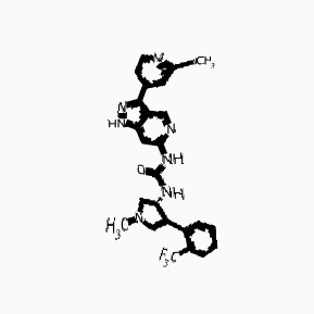 Cc1cc(-c2n[nH]c3cc(NC(=O)N[C@H]4CN(C)CC4c4ccccc4C(F)(F)F)ncc23)ccn1